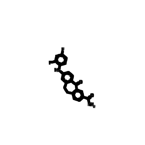 NC(=O)c1ccc2c(c1)C(=O)c1ccc(Nc3ccc(F)cc3F)cc1CC2